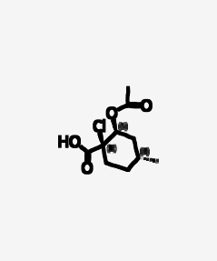 CC(=O)O[C@H]1C[C@H](C)CC[C@]1(Cl)C(=O)O